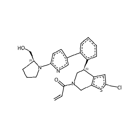 C=CC(=O)N1Cc2sc(Cl)cc2[C@H](c2ccccc2-c2ccc(N3CCC[C@H]3CO)nc2)C1